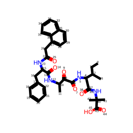 CCC(C)C(NC(=O)C(=O)C(C)NC(=O)C(Cc1ccccc1)NC(=O)Cc1cccc2ccccc12)C(=O)NC(C)(C)C(=O)O